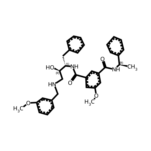 COc1cccc(CNC[C@@H](O)[C@H](Cc2ccccc2)NC(=O)c2cc(OC)cc(C(=O)N[C@H](C)c3ccccc3)c2)c1